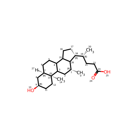 C[C@@H]1CC2C(CC[C@@H]3C[C@H](O)CC[C@]23C)C2CC[C@H]([C@H](C)CCC(=O)O)C21